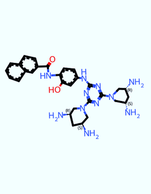 N[C@@H]1C[C@H](N)CN(c2nc(Nc3ccc(NC(=O)c4ccc5ccccc5c4)c(O)c3)nc(N3C[C@H](N)C[C@H](N)C3)n2)C1